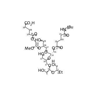 CCC(CO)O[C@@H](CO)OCC(CO)O[C@@H](COC(=O)CCCC(=O)NC(C)(C)C)OCC(CO)O[C@@H](COC(=O)CCCC(=O)O)OC